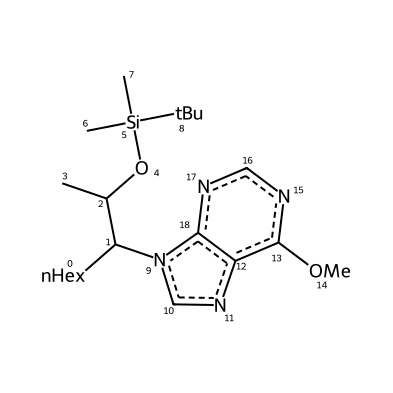 CCCCCCC(C(C)O[Si](C)(C)C(C)(C)C)n1cnc2c(OC)ncnc21